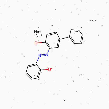 [Na+].[Na+].[O-]c1ccccc1N=Nc1cc(-c2ccccc2)ccc1[O-]